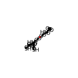 O=C(CC[C@H](NC(=O)CCOCCOCCOCCOCCNC(=O)CCN1C(=O)C=CC1=O)C(=O)NCCOS)NCCOS